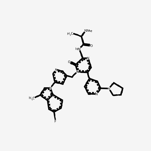 CNC(C)C(=O)Nc1ncc(-c2ccnc(N3CCCC3)c2)n(Cc2cncc(-n3cc(C)c4cc(F)ccc43)c2)c1=O